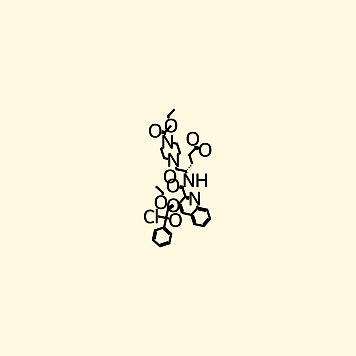 CCOC(=O)N1CCN(C(=O)[C@H](CCC(=O)OC)NC(=O)c2cc(OC(Cl)(C(=O)OCC)c3ccccc3)c3ccccc3n2)CC1